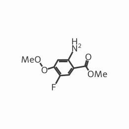 COOc1cc(N)c(C(=O)OC)cc1F